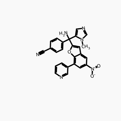 Cn1cncc1C(N)(c1ccc(C#N)cc1)c1cc2cc([N+](=O)[O-])cc(-c3cccnc3)c2o1